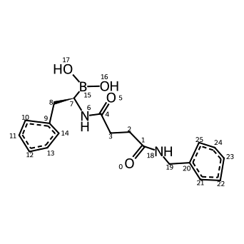 O=C(CCC(=O)N[C@@H](Cc1ccccc1)B(O)O)NCc1ccccc1